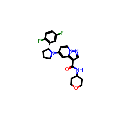 O=C(NC1CCOCC1)c1cnn2ccc(N3CCC[C@@H]3c3cc(F)ccc3F)cc12